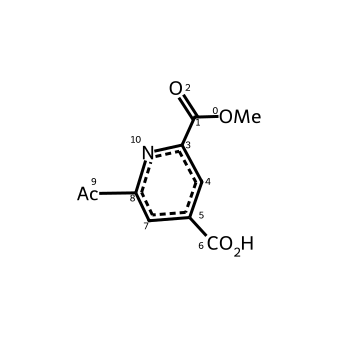 COC(=O)c1cc(C(=O)O)cc(C(C)=O)n1